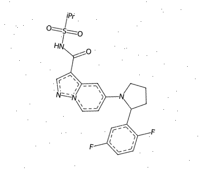 CC(C)S(=O)(=O)NC(=O)c1cnn2ccc(N3CCCC3c3cc(F)ccc3F)cc12